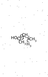 CC(C)=CCCC1(C)C=Cc2c(C)cc(O)cc2O1